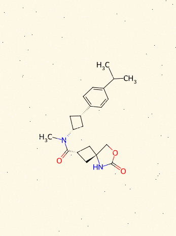 CC(C)c1ccc([C@H]2C[C@@H](N(C)C(=O)[C@H]3C[C@]4(COC(=O)N4)C3)C2)cc1